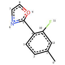 Cc1ccc(-c2ncco2)c(F)c1